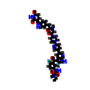 CCN(C)S(=O)(=O)Nc1ccc(F)c(C(=O)c2c[nH]c3ncc(-c4ccc(N5CCN(C(=O)CN(C)C(=O)Cc6ccc(NC7CCC(=O)NC7=O)cc6)CC5)nc4)cc23)c1F